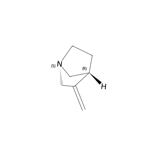 C=C1C[N@]2CC[C@H]1C2